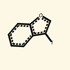 Ic1coc2ccccc12